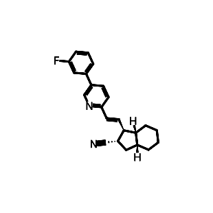 N#C[C@H]1C[C@H]2CCCC[C@H]2[C@@H]1C=Cc1ccc(-c2cccc(F)c2)cn1